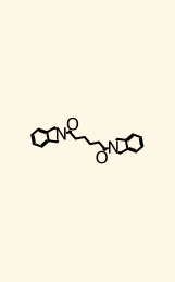 O=C(CCCCC(=O)N1Cc2ccccc2C1)N1Cc2ccccc2C1